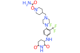 NC(=O)ON1CCC(CN2CCN(c3ccc(NC4CCC(=O)NC4=O)cc3C(F)(F)F)CC2)CC1